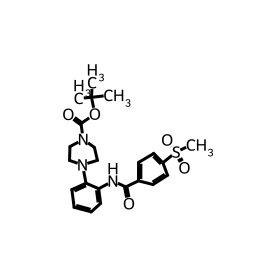 CC(C)(C)OC(=O)N1CCN(c2ccccc2NC(=O)c2ccc(S(C)(=O)=O)cc2)CC1